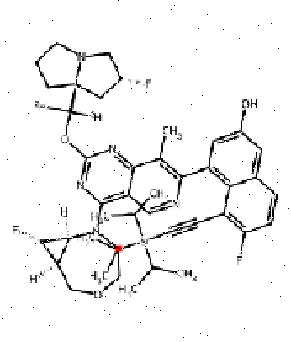 [2H]C([2H])(Oc1nc(N2CCOC[C@H]3[C@H](F)[C@H]32)c2cnc(-c3cc(O)cc4ccc(F)c(C#C[Si](C(C)C)(C(C)C)C(C)C)c34)c(C)c2n1)[C@@]12CCCN1C[C@H](F)C2